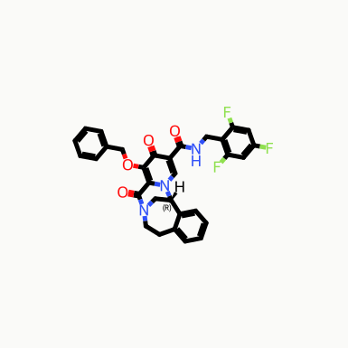 O=C(NCc1c(F)cc(F)cc1F)c1cn2c(c(OCc3ccccc3)c1=O)C(=O)N1CCc3ccccc3[C@@H]2C1